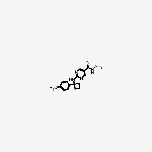 Cc1ccc(C2(Nc3ncc(C(=O)NN)cn3)CCC2)cc1